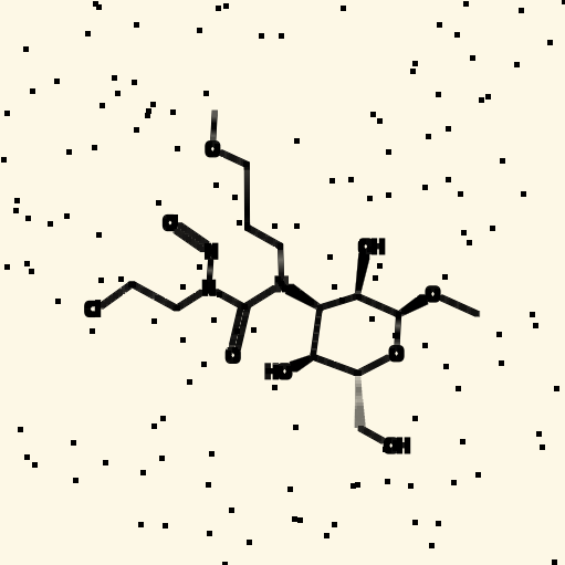 COCCCN(C(=O)N(CCCl)N=O)[C@H]1[C@@H](O)[C@@H](OC)O[C@H](CO)[C@H]1O